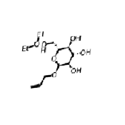 C=CCOC1O[C@H](CO)[C@@H](O)[C@H](O)[C@H]1O.CCOCC